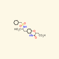 O=C(O)CC1Oc2ccc(C[C@H](NS(=O)(=O)Cc3ccccc3)C(=O)O)cc2NC1=O